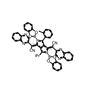 Cc1ccccc1-c1c2/c(=C(\C#N)c3cnc4ccccc4n3)n(B3Oc4ccccc4O3)c(C(C)C)c2/c(=C(\C#N)c2cnc3ccccc3n2)n1B1Oc2ccccc2O1